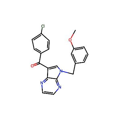 COc1cccc(Cn2cc(C(=O)c3ccc(Cl)cc3)c3nccnc32)c1